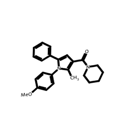 COc1ccc(-n2c(-c3ccccc3)cc(C(=O)N3CCCCC3)c2C)cc1